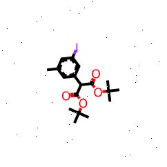 Cc1cc(I)cc(C(C(=O)OC(C)(C)C)C(=O)OC(C)(C)C)c1